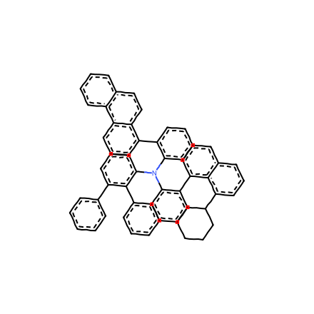 c1ccc(-c2cccc(N(c3ccccc3-c3cccc4c3ccc3ccccc34)c3ccccc3-c3cccc4cccc(C5CCCCC5)c34)c2-c2ccccc2)cc1